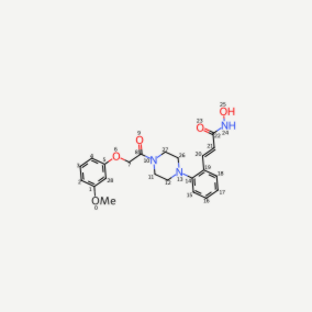 COc1cccc(OCC(=O)N2CCN(c3ccccc3C=CC(=O)NO)CC2)c1